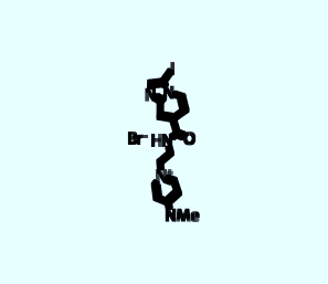 CNc1cc[n+](CCNC(=O)c2ccn3c(I)cnc3c2)cc1.[Br-]